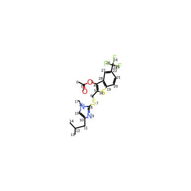 CC(=O)Oc1c(CSc2nc(CC(C)C)cn2C)sc2ccc(C(F)(F)F)cc12